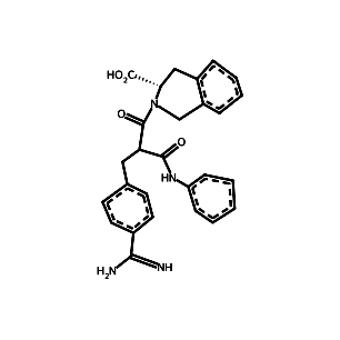 N=C(N)c1ccc(CC(C(=O)Nc2ccccc2)C(=O)N2Cc3ccccc3C[C@H]2C(=O)O)cc1